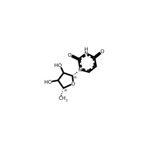 C[C@H]1O[C@@H](n2ccc(=O)[nH]c2=O)C(O)C1O